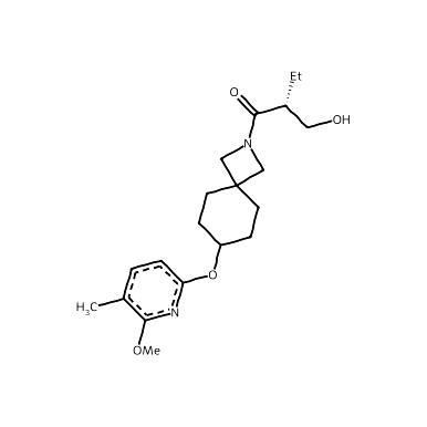 CC[C@H](CO)C(=O)N1CC2(CCC(Oc3ccc(C)c(OC)n3)CC2)C1